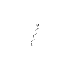 CC/C=C/CCCC[O]